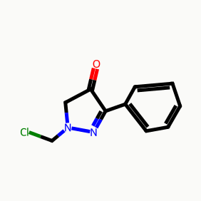 O=C1CN(CCl)N=C1c1ccccc1